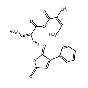 C/C(=C/C(=O)O)C(=O)OC(=O)/C(C)=C\C(=O)O.O=C1C=C(c2ccccc2)C(=O)O1